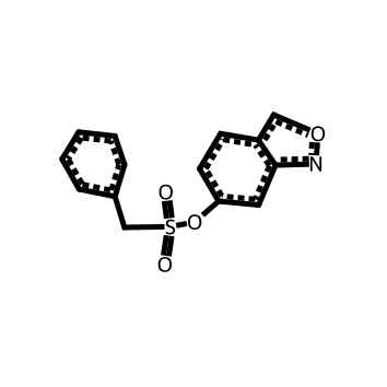 O=S(=O)(Cc1ccccc1)Oc1ccc2conc2c1